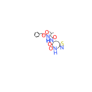 CC(C)C(NC(=O)OCc1ccccc1)C(=O)NC1CCc2scnc2CNC(=O)C1=O